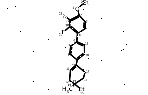 CCOc1ccc(-c2ccc(C3=CCC(C)(CC)CC3)cc2)c(F)c1F